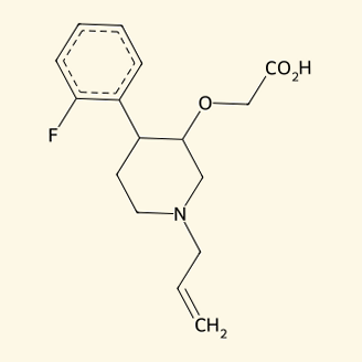 C=CCN1CCC(c2ccccc2F)C(OCC(=O)O)C1